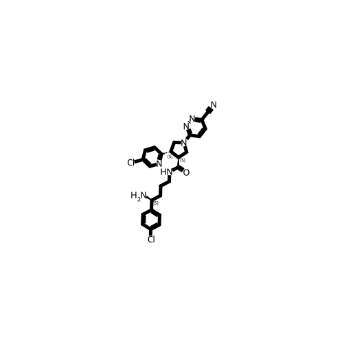 N#Cc1ccc(N2C[C@@H](C(=O)NCCC[C@H](N)c3ccc(Cl)cc3)[C@H](c3ccc(Cl)cn3)C2)nn1